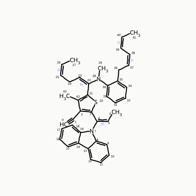 C#Cc1c(/C(=C\C)n2c3ccccc3c3ccccc32)sc(/C(=C\C/C=C\C)N(C)c2ccccc2C/C=C\C=C/C)c1C